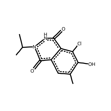 Cc1cc2c(=O)n(C(C)C)[nH]c(=O)c2c(Cl)c1O